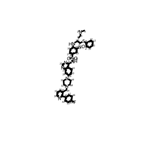 CN(C)CC[C@H](CSc1ccccc1)Nc1ccc(S(=O)(=O)Nc2ncnc3cc(N4CCN(Cc5cccnc5-c5ccc(F)cc5)CC4)ccc23)cc1[N+](=O)[O-]